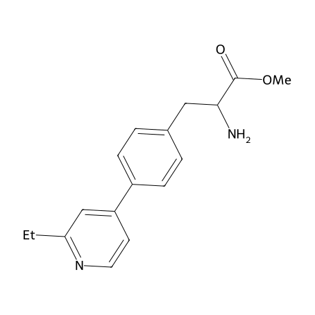 CCc1cc(-c2ccc(CC(N)C(=O)OC)cc2)ccn1